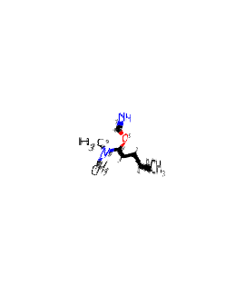 CCCCC(OC=N)N(C)C